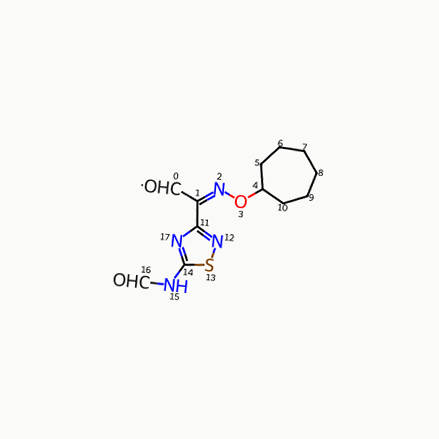 O=[C]C(=NOC1CCCCCC1)c1nsc(NC=O)n1